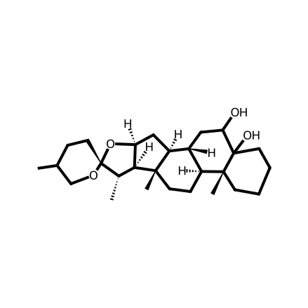 CC1CC[C@@]2(OC1)O[C@H]1C[C@H]3[C@@H]4CC(O)C5(O)CCCC[C@]5(C)[C@H]4CC[C@]3(C)[C@H]1[C@@H]2C